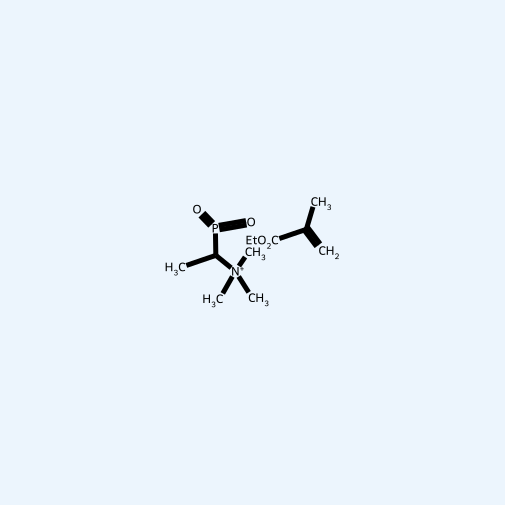 C=C(C)C(=O)OCC.CC(P(=O)=O)[N+](C)(C)C